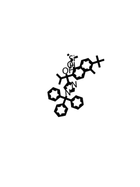 Cc1c(C(C)(C)C)ccc2c(O[SiH](C)C)c(C(O)(c3cn(C(c4ccccc4)(c4ccccc4)c4ccccc4)cn3)C(C)C)ccc12